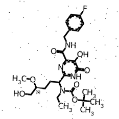 CCN(C(=O)OC(C)(C)C)C(CC[C@@H](CO)OC)c1nc(C(=O)NCc2ccc(F)cc2)c(O)c(=O)[nH]1